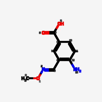 CO/N=C/c1cc(C(=O)O)ccc1N